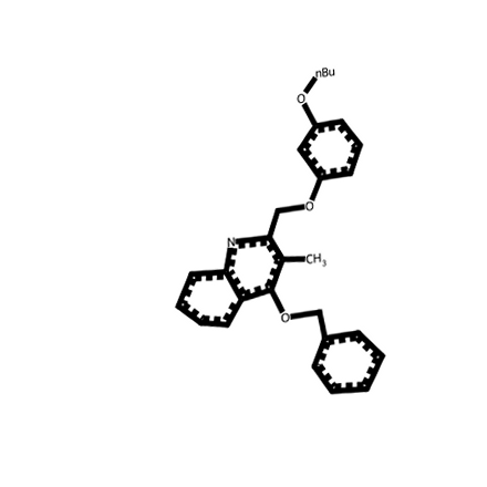 CCCCOc1cccc(OCc2nc3ccccc3c(OCc3ccccc3)c2C)c1